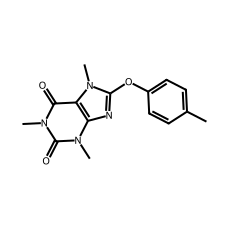 Cc1ccc(Oc2nc3c(c(=O)n(C)c(=O)n3C)n2C)cc1